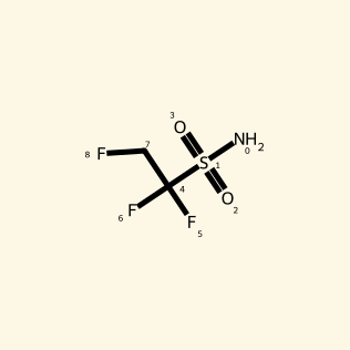 NS(=O)(=O)C(F)(F)CF